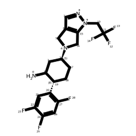 NC1C[C@@H](N2Cc3cnn(CC(F)(F)F)c3C2)CC[C@@H]1c1cc(F)c(F)cc1F